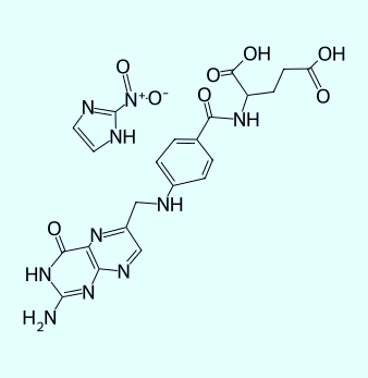 Nc1nc2ncc(CNc3ccc(C(=O)NC(CCC(=O)O)C(=O)O)cc3)nc2c(=O)[nH]1.O=[N+]([O-])c1ncc[nH]1